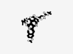 CCC1(OC(=O)CNC(=O)OC(C)(C)C)C(=O)OC([Si](C)(C)C(C)(C)C(C)C)c2c1cnc1c2C(=O)N2Cc3ccc(OC(C)=O)cc3C=C12